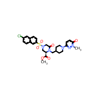 COC(=O)[C@H]1CN(S(=O)(=O)c2ccc3cc(Cl)ccc3c2)CC(=O)N1CC1CCN(c2ccc(=O)n(C)n2)CC1